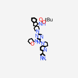 Cn1cc(-c2ccc3c(n2)CCCN3c2nn(C3CCCCO3)c3nc(N4CCC5(CC4)Cc4ccccc4[C@H]5NC(=O)OC(C)(C)C)cnc23)cn1